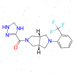 O=C(C1=NNCN1)N1C[C@@H]2CN(c3ccccc3C(F)(F)F)C[C@@H]2C1